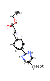 CCCCCCCc1cnc(-c2ccc(/C=C/C(=O)OC[C@H](C)CC)cc2)nc1